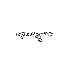 CCOC(Cc1ccc(OCCN(CCCSCc2ccccc2)C(=O)Nc2ccccc2)cc1)C(=O)O